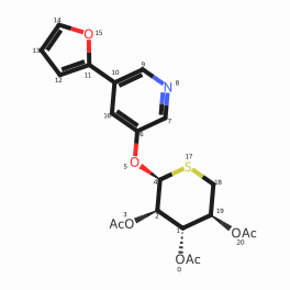 CC(=O)O[C@@H]1[C@@H](OC(C)=O)[C@@H](Oc2cncc(-c3ccco3)c2)SC[C@H]1OC(C)=O